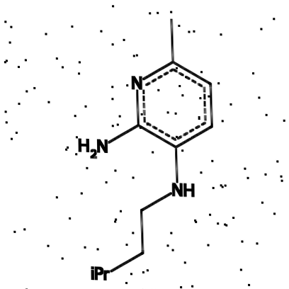 Cc1ccc(NCCC(C)C)c(N)n1